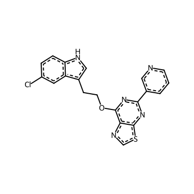 Clc1ccc2[nH]cc(CCOc3nc(-c4cccnc4)nc4scnc34)c2c1